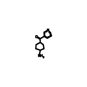 NC1CCC(C(=O)c2cccnc2)CC1